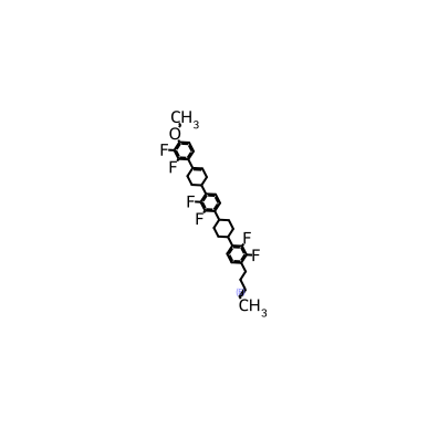 C/C=C/CCc1ccc(C2CCC(c3ccc(C4CC=C(c5ccc(OCC)c(F)c5F)CC4)c(F)c3F)CC2)c(F)c1F